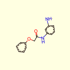 [NH]c1cccc(NC(=O)COc2ccccc2)c1